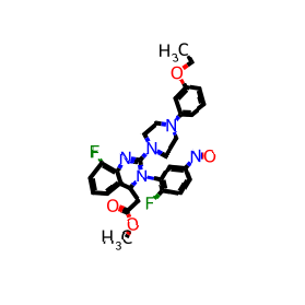 CCOc1cccc(N2CCN(C3=Nc4c(F)cccc4C(CC(=O)OC)N3c3cc(N=O)ccc3F)CC2)c1